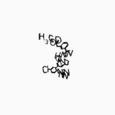 COC(=O)Cc1cccc(-c2cnc([C@@H]3CCc4cc(-c5cc(Cl)ccc5-n5cnnn5)cc(=O)n43)[nH]2)c1